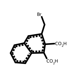 O=C(O)c1c(CBr)cc2ccccc2c1C(=O)O